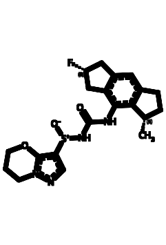 C[C@H]1CCc2cc3c(c(NC(=O)N[S+]([O-])c4cnn5c4OCCC5)c21)C[C@H](F)C3